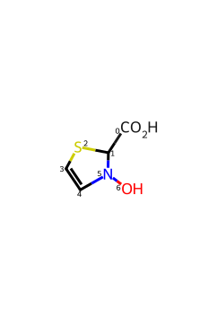 O=C(O)C1SC=CN1O